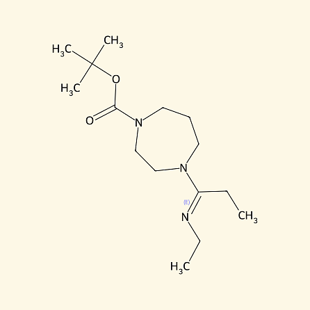 CC/N=C(\CC)N1CCCN(C(=O)OC(C)(C)C)CC1